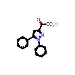 O=C(O)C(=O)c1cc(-c2ccccc2)n(-c2ccccc2)n1